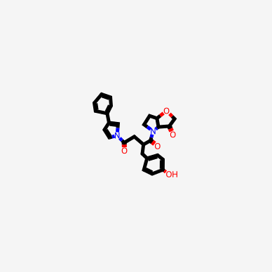 O=C1COC2CCN(C(=O)C(CC(=O)n3ccc(-c4ccccc4)c3)Cc3ccc(O)cc3)C12